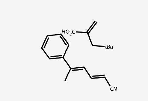 C=C(CC(C)(C)C)C(=O)O.CC(=CC=CC#N)c1ccccc1